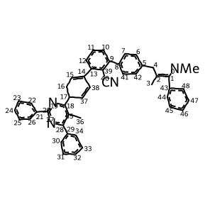 CN/C(=C(/C)Cc1ccc(-c2cccc(C3=CCC(c4nc(-c5ccccc5)nc(-c5ccccc5)c4C)C=C3)c2C#N)cc1)c1ccccc1